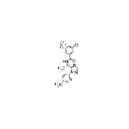 C[C@H](NC(=O)c1cc(Cl)cc(OC(F)(F)F)c1)c1ncnn1-c1ccc(N)cn1